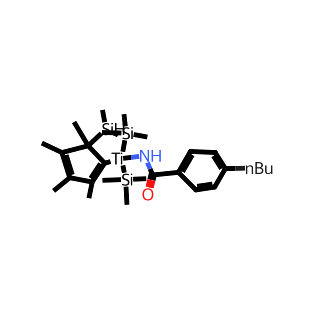 CCCCc1ccc(C(=O)[NH][Ti]([C]2=C(C)C(C)=C(C)C2(C)[SiH](C)C)([Si](C)(C)C)[Si](C)(C)C)cc1